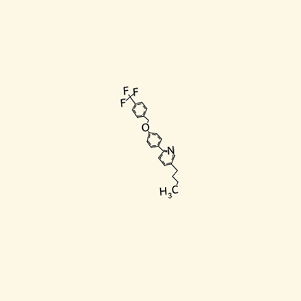 CCCCc1ccc(-c2ccc(OCc3ccc(C(F)(F)F)cc3)cc2)nc1